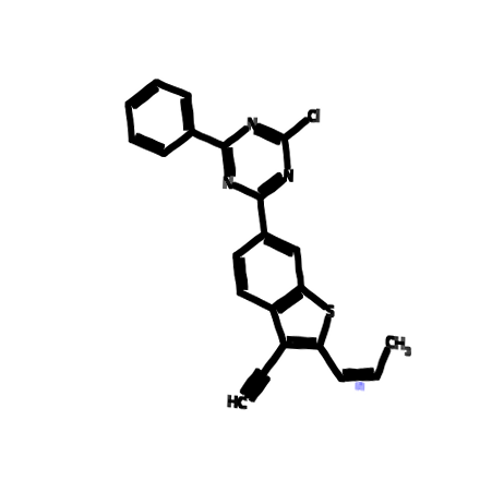 C#Cc1c(/C=C\C)sc2cc(-c3nc(Cl)nc(-c4ccccc4)n3)ccc12